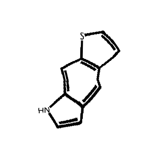 c1cc2cc3ccsc3cc2[nH]1